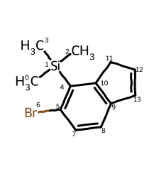 C[Si](C)(C)c1c(Br)ccc2c1CC=C2